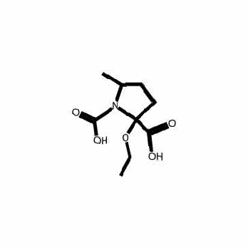 CCOC1(C(=O)O)CCC(C)N1C(=O)O